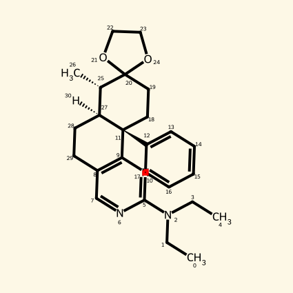 CCN(CC)c1ncc2c(n1)[C@@]1(c3ccccc3)CCC3(OCCO3)[C@@H](C)[C@@H]1CC2